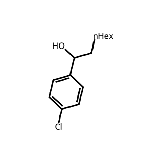 CCCCCCCC(O)c1ccc(Cl)cc1